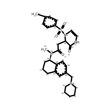 Cc1ccc(S(=O)(=O)N2C=CNC(=O)C2CC(=O)N(C)[C@@H]2CCCc3cc(CN4CCCCC4)ccc32)cc1